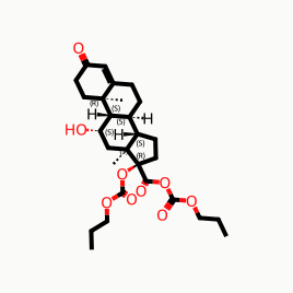 CCCOC(=O)OC(=O)[C@@]1(OC(=O)OCCC)CC[C@H]2[C@@H]3CCC4=CC(=O)CC[C@]4(C)[C@H]3[C@@H](O)C[C@@]21C